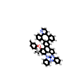 Cc1ccc2c(c1)Oc1c(cc(-n3c4ccccc4n4c5ccccc5nc34)c(C)c1-c1cc3c(cc1C1CCCC1)-c1ccccc1-c1cccnc1-c1ccccc1-3)[Si]2(C)C